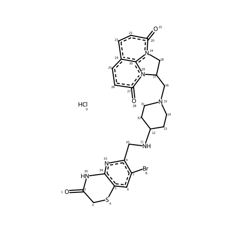 Cl.O=C1CSc2cc(Br)c(CNC3CCN(CC4Cn5c(=O)ccc6ccc(=O)n4c65)CC3)nc2N1